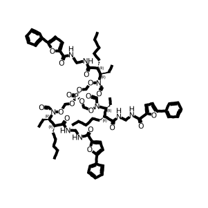 CCCCC[C@@H](C(=O)NCNC(=O)c1ccc(-c2ccccc2)o1)[C@@H](CC)N(C=O)OCOP(=O)(OCON(C=O)[C@H](CC)[C@@H](CCCCC)C(=O)NCNC(=O)c1ccc(-c2ccccc2)o1)OCON(C=O)[C@H](CC)[C@@H](CCCCC)C(=O)NCNC(=O)c1ccc(-c2ccccc2)o1